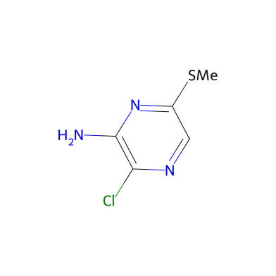 CSc1cnc(Cl)c(N)n1